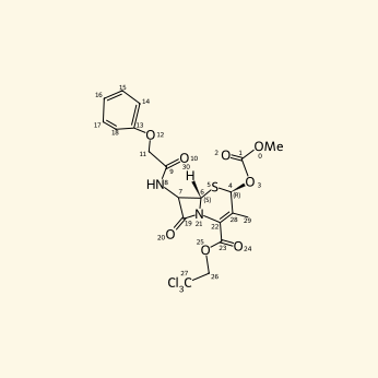 COC(=O)O[C@@H]1S[C@H]2C(NC(=O)COc3ccccc3)C(=O)N2C(C(=O)OCC(Cl)(Cl)Cl)=C1C